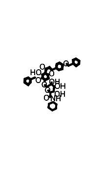 O=C(NC1CCCCC1)C1OC(Oc2cc3oc(-c4ccc(OCc5ccccc5)cc4)cc(=O)c3c(O)c2OCc2ccccc2)C(O)C(O)C1O